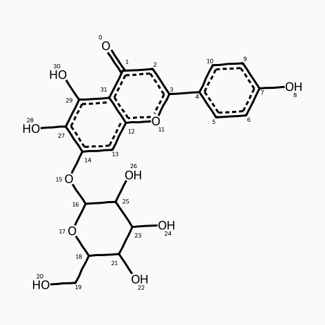 O=c1cc(-c2ccc(O)cc2)oc2cc(OC3OC(CO)C(O)C(O)C3O)c(O)c(O)c12